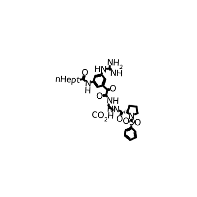 CCCCCCCC(=O)Nc1cc(NC(=N)N)cc(C(=O)C(=O)NC[C@H](NC(=O)[C@@H]2CCCN2S(=O)(=O)c2ccccc2)C(=O)O)c1